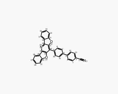 N#Cc1ccc(-c2ccc(-c3c4oc5ccccc5c4nc4c3oc3ccccc34)cc2)cc1